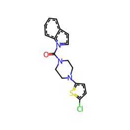 O=C(N1CCN(c2ccc(Cl)s2)CC1)n1ccc2ccccc21